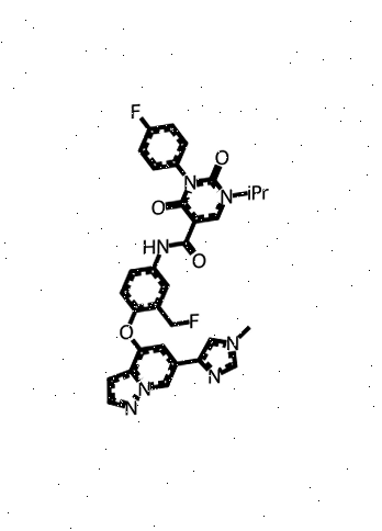 CC(C)n1cc(C(=O)Nc2ccc(Oc3cc(-c4cn(C)cn4)cn4nccc34)c(CF)c2)c(=O)n(-c2ccc(F)cc2)c1=O